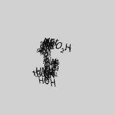 CCN(C(=O)O)C1N=C(c2ccc(-c3ccc(OCC(=O)N[C@H](C(=O)N4C[C@H](O)C[C@H]4C(=O)N[C@@H](C)c4ccc(-c5scnc5C)cc4)C(C)(C)C)cc3)cc2)c2c(sc(C)c2C)-n2c(C)nnc21